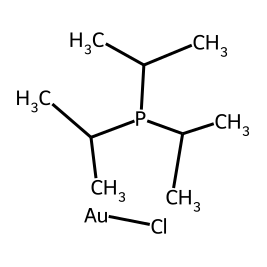 CC(C)P(C(C)C)C(C)C.[Cl][Au]